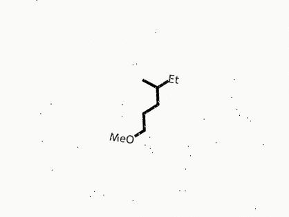 CCC(C)CCCOC